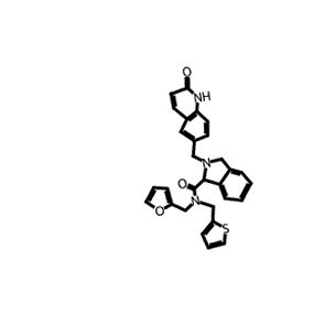 O=C(C1c2ccccc2CN1Cc1ccc2[nH]c(=O)ccc2c1)N(Cc1ccco1)Cc1cccs1